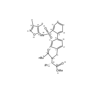 CCCCC(=O)N(Cc1ccc(-c2ccccc2S(=O)(=O)Nc2onc(C)c2C)cc1)[C@H](C(=O)OC)C(C)C